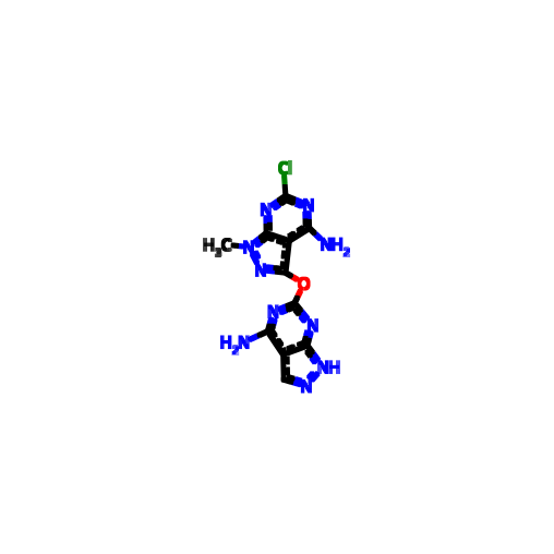 Cn1nc(Oc2nc(N)c3cn[nH]c3n2)c2c(N)nc(Cl)nc21